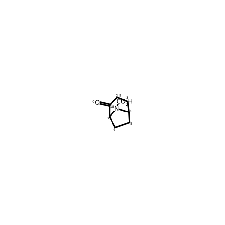 O=C1CCC2CCC1N2C(=O)O